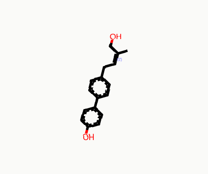 C/C(=C/Cc1ccc(-c2ccc(O)cc2)cc1)CO